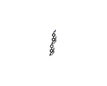 C/C=C/c1ccc(-c2ccc(OCC3CCC(c4ccc(OCC)c(F)c4F)CC3)c(F)c2F)cc1